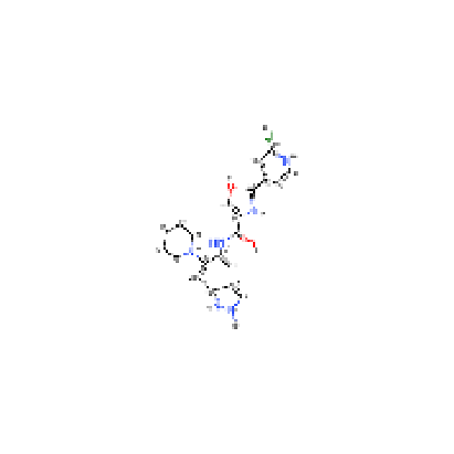 Cn1cc2cc(NC(=O)c3coc(-c4ccnc(Cl)c4)n3)c(N3CCCCC3)cc2n1